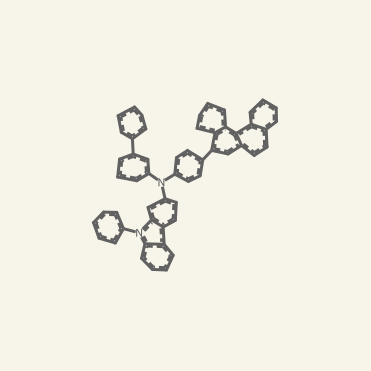 c1ccc(-c2cccc(N(c3ccc(-c4cc5ccc6ccccc6c5c5ccccc45)cc3)c3ccc4c5ccccc5n(-c5ccccc5)c4c3)c2)cc1